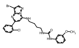 COc1cccc(NC(=O)NCCCCNc2cc(-c3ccccc3Cl)nc3c(Br)cnn23)c1